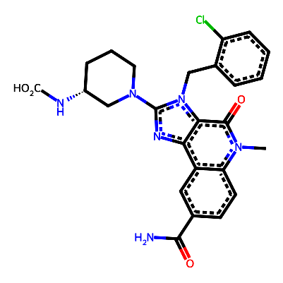 Cn1c(=O)c2c(nc(N3CCC[C@@H](NC(=O)O)C3)n2Cc2ccccc2Cl)c2cc(C(N)=O)ccc21